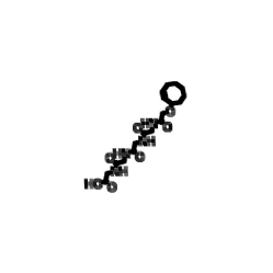 O=C(O)CNC(=O)CNC(=O)CNC(=O)CNC(=O)COC1C#CCCCCC1